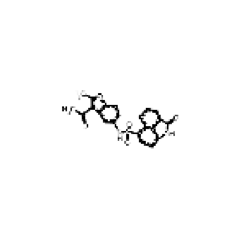 CC(=O)c1c(C)oc2ccc(NS(=O)(=O)c3ccc4c5c(cccc35)C(=O)N4)cc12